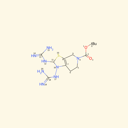 CC(C)(C)OC(=O)N1CCC2=C(C1)SC(NC(=N)N)N2NC(=N)N